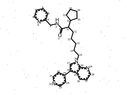 O=C(NCc1ccccn1)C(CCCCCn1cc(-c2ccncc2)c2cccnc21)C1CCCC1